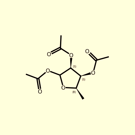 CC(=O)OC1O[C@H](C)[C@H](OC(C)=O)[C@@H]1OC(C)=O